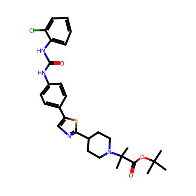 CC(C)(C)OC(=O)C(C)(C)N1CCC(c2ncc(-c3ccc(NC(=O)Nc4ccccc4Cl)cc3)s2)CC1